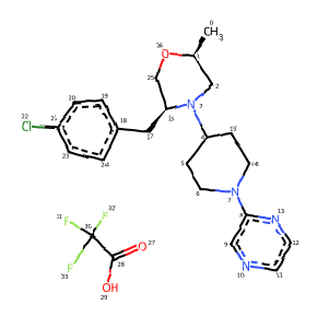 C[C@H]1CN(C2CCN(c3cnccn3)CC2)[C@@H](Cc2ccc(Cl)cc2)CO1.O=C(O)C(F)(F)F